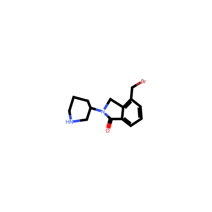 O=C1c2cccc(CBr)c2CN1C1CCCNC1